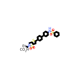 CCC(C(=O)O)N1Cc2sc(-c3ccc(-c4ccc(NS(=O)(=O)c5ccccc5)cc4)cc3)cc2S1(=O)=O